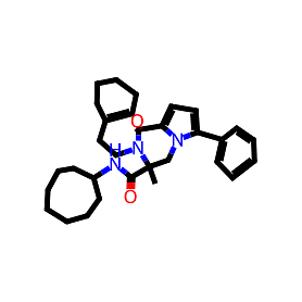 CC1(C(=O)NC2CCCCCCC2)Cn2c(ccc2-c2ccccc2)C(=O)N1CCC1=CCCCC1